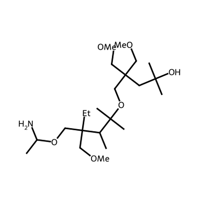 CCC(COC)(COC(C)N)C(C)C(C)(C)OCC(COC)(COC)CC(C)(C)O